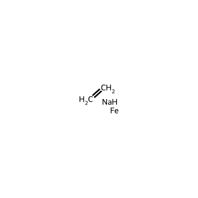 C=C.[Fe].[NaH]